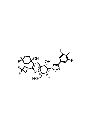 O=C([C@@H](S[C@@H]1O[C@H](CO)[C@H](O)[C@H](n2cc(-c3cc(F)c(F)c(F)c3)nn2)[C@H]1O)C1(O)CCC(F)(F)CC1)N1CC(F)(F)C1